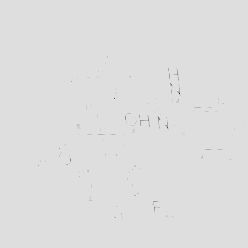 C=C(C)C(O)(Cc1nc2ccccc2[nH]1)CC(C)(C)c1cc(F)ccc1OC